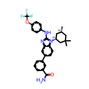 C[C@@H]1C[C@H](n2c(Nc3ccc(OC(F)(F)F)cc3)nc3cc(-c4cccc(C(N)=O)c4)ccc32)CC(C)(C)C1